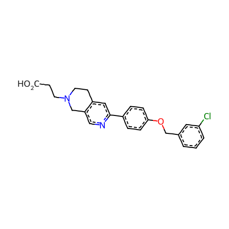 O=C(O)CCN1CCc2cc(-c3ccc(OCc4cccc(Cl)c4)cc3)ncc2C1